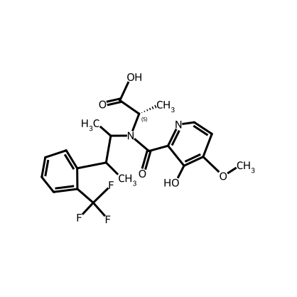 COc1ccnc(C(=O)N(C(C)C(C)c2ccccc2C(F)(F)F)[C@@H](C)C(=O)O)c1O